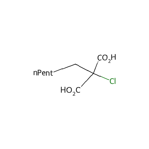 CCCCCCC(Cl)(C(=O)O)C(=O)O